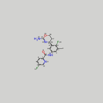 Cc1cc(NC(=O)c2ccc(F)cn2)cc([C@@H]2CCOC(N)=N2)c1F